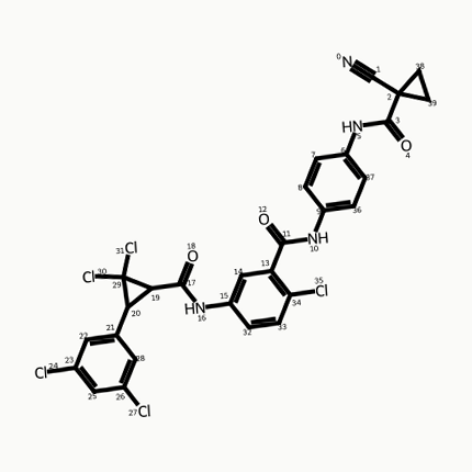 N#CC1(C(=O)Nc2ccc(NC(=O)c3cc(NC(=O)C4C(c5cc(Cl)cc(Cl)c5)C4(Cl)Cl)ccc3Cl)cc2)CC1